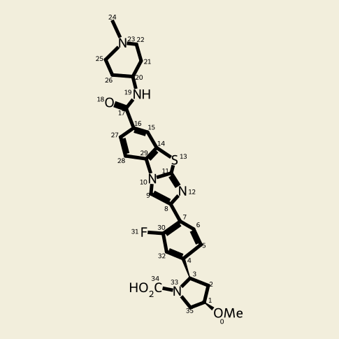 CO[C@@H]1C[C@H](c2ccc(-c3cn4c(n3)sc3cc(C(=O)NC5CCN(C)CC5)ccc34)c(F)c2)N(C(=O)O)C1